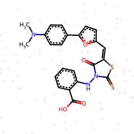 CN(C)c1ccc(-c2ccc(C=C3SC(=S)N(Nc4ccccc4C(=O)O)C3=O)o2)cc1